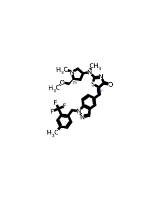 COC[C@@H]1CC(N(C)C2=NC(=O)/C(=C/c3ccc4c(cnn4Cc4ccc(C)cc4C(F)(F)F)c3)S2)CN1C